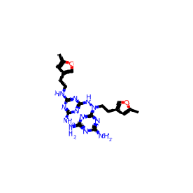 Cc1cc(CCNc2nc(N)nc(NN(CCc3coc(C)c3)c3nc(N)nc(N)n3)n2)co1